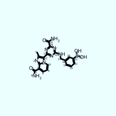 Cc1nc2c(C(N)=O)cccn2c1-c1nc(NCc2cccc(B(O)O)c2)nc(C(N)=O)n1